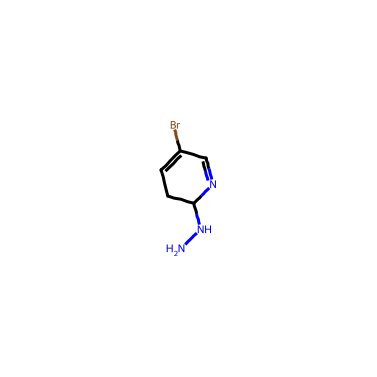 NNC1CC=C(Br)C=N1